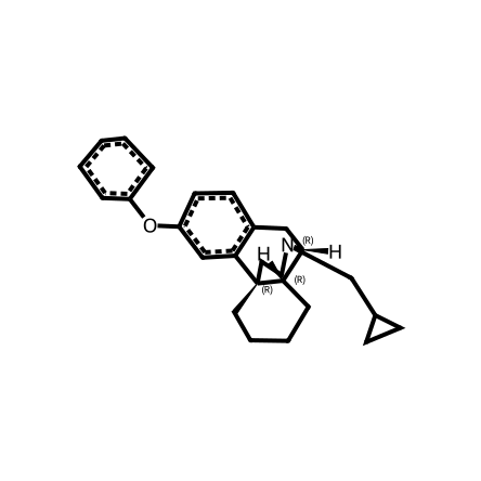 c1ccc(Oc2ccc3c(c2)[C@@]24CCCC[C@H]2[C@@H](C3)N(CC2CC2)CC4)cc1